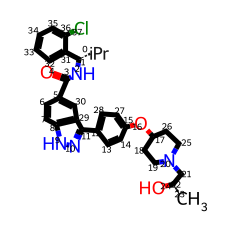 CC(C)[C@H](NC(=O)c1ccc2[nH]nc(-c3ccc(OC4CCN(C[C@H](C)O)CC4)cc3)c2c1)c1ccccc1Cl